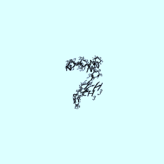 CC1(C)c2cc(-c3cccc(-c4nc(-c5ccccc5)nc(-c5ccc(-c6cccnc6)cc5)n4)c3)ccc2-c2cc3oc4ccccc4c3cc21